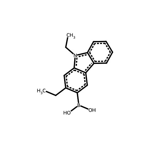 CCc1cc2c(cc1B(O)O)c1ccccc1n2CC